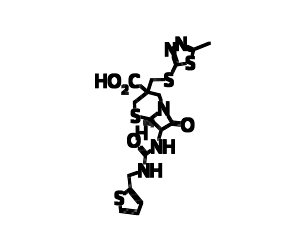 Cc1nnc(SCC2(C(=O)O)CS[C@@H]3C(NC(=O)NCc4cccs4)C(=O)N3C2)s1